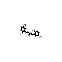 O=C(/C=C/c1cc(O)ccc1Cl)/C=C/c1cc(O)ccc1Cl